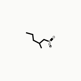 CCCC(C)C[SH](=O)=O